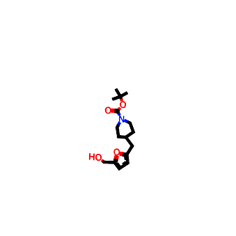 CC(C)(C)OC(=O)N1CCC(Cc2ccc(CO)o2)CC1